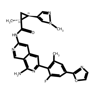 Cc1cc(-c2ncco2)cc(F)c1-c1cc2cc(NC(=O)[C@@]3(C)C[C@H]3c3cnn(C)c3)ncc2c(N)n1